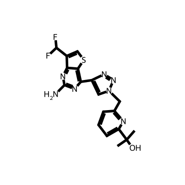 CC(C)(O)c1cccc(Cn2cc(-c3nc(N)nc4c(C(F)F)csc34)nn2)n1